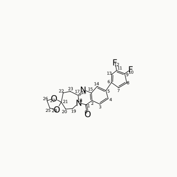 O=c1c2ccc(-c3ccc(F)c(F)c3)cc2nc2n1CCC1(CC2)OCCO1